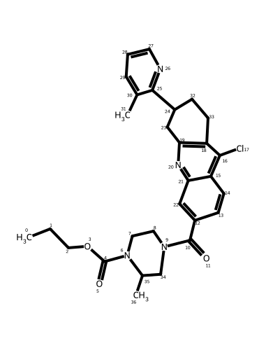 CCCOC(=O)N1CCN(C(=O)c2ccc3c(Cl)c4c(nc3c2)CC(c2ncccc2C)CC4)CC1C